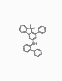 CC1(C)c2ccccc2-c2cc(Nc3ccccc3-c3ccccc3)cc(-c3ccccc3)c21